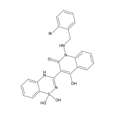 O=c1c(C2=NS(O)(O)c3ccccc3N2)c(O)c2ccccc2n1NCc1ccccc1Br